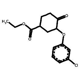 CCOC(=O)C1CCC(=O)C(Oc2cccc(Cl)c2)C1